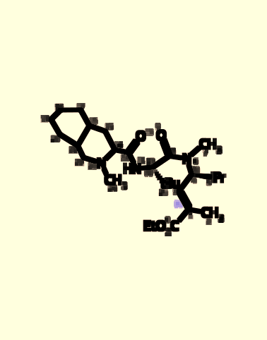 CCOC(=O)/C(C)=C/[C@H](C(C)C)N(C)C(=O)[C@@H](NC(=O)C1CC2CCCCC2CN1C)C(C)(C)C